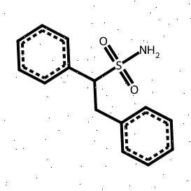 NS(=O)(=O)C(Cc1ccccc1)c1ccccc1